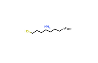 CCCCCCCCCCCCS.N